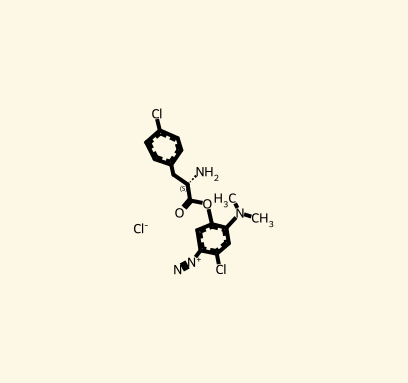 CN(C)c1cc(Cl)c([N+]#N)cc1OC(=O)[C@@H](N)Cc1ccc(Cl)cc1.[Cl-]